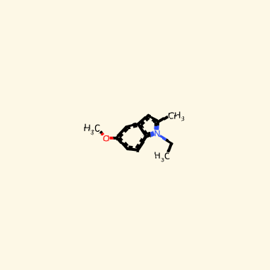 CCn1c(C)cc2cc(OC)ccc21